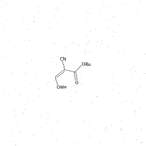 CO/C=C(/C#N)C(=O)OCC(C)C